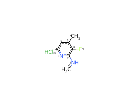 CNc1nccc(C)c1F.Cl